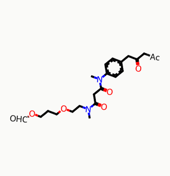 CC(=O)CC(=O)Cc1ccc(N(C)C(=O)CC(=O)N(C)CCOCCCOC=O)cc1